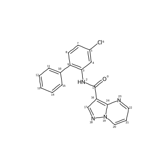 O=C(Nc1cc(Cl)ccc1-c1ccccc1)c1cnn2cccnc12